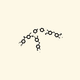 CN1Cc2ccc(C(=O)c3ccc4c(c3)CN(c3cc(Oc5ccc(N6C(=O)c7ccc(C(=O)c8ccc9c(c8)C(=O)N(C)C9=O)cc7C6=O)cc5)ccc3N3C(=O)c5ccc(C(=O)c6ccc7c(c6)C(=O)N(C)C7=O)cc5C3=O)C4)cc2C1